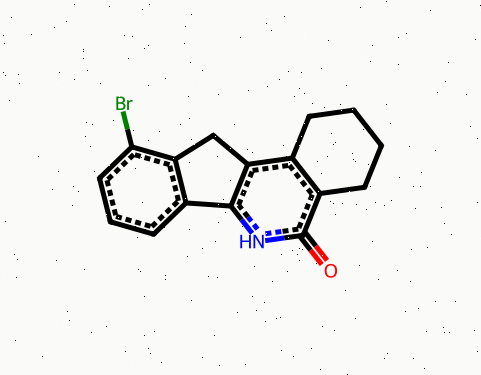 O=c1[nH]c2c(c3c1CCCC3)Cc1c(Br)cccc1-2